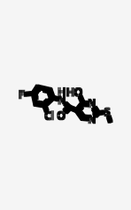 CSc1ncc(C(=O)Nc2ccc(F)cc2Cl)c(O)n1